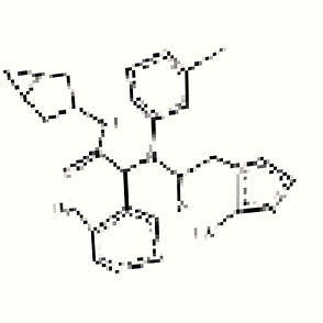 Cc1ccccc1C(C(=O)NC1CC2CC2C1)N(C(=O)Cn1ccnc1C)c1cccc(F)c1